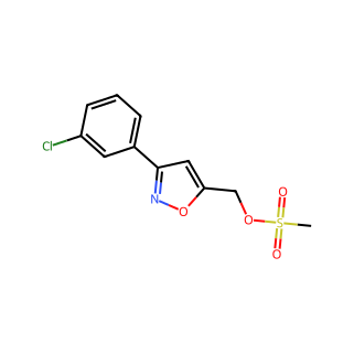 CS(=O)(=O)OCc1cc(-c2cccc(Cl)c2)no1